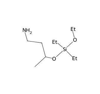 CCO[Si](CC)(CC)OC(C)CCN